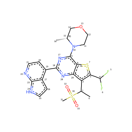 CC(c1c(C(F)F)sc2c(N3CCOC[C@H]3C)nc(-c3ccnc4[nH]ccc34)nc12)S(C)(=O)=O